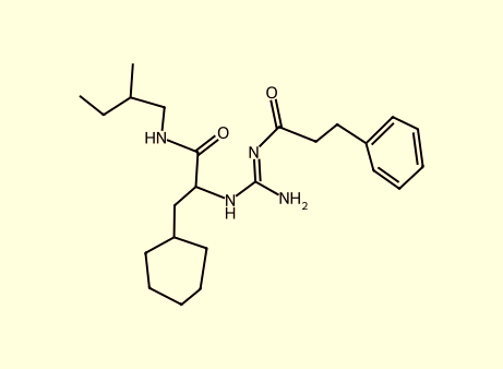 CCC(C)CNC(=O)C(CC1CCCCC1)NC(N)=NC(=O)CCc1ccccc1